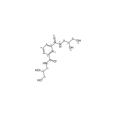 O=C(NCC(O)CO)c1cccc(C(=O)NCC(O)CO)n1